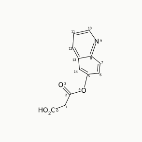 O=C(O)CC(=O)Oc1ccc2ncccc2c1